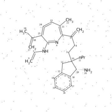 C=CNC1=NC(C(=C)CCC2(CCC)Cc3ccccc3[C@H]2N)=C(C)C=C=C1C(=C)C